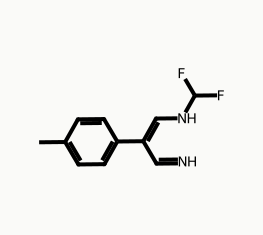 Cc1ccc(/C(C=N)=C/NC(F)F)cc1